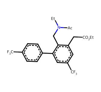 CCOC(=O)Cc1cc(C(F)(F)F)cc(-c2ccc(C(F)(F)F)cc2)c1CN(CC)C(C)=O